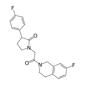 O=C(CN1CCC(c2ccc(F)cc2)C1=O)N1CCc2ccc(F)cc2C1